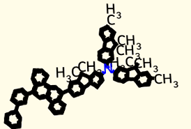 Cc1ccc2c(c1)C(C)(C)c1cc(N(c3ccc4c(c3)C(C)(C)c3cc(C)ccc3-4)c3ccc4c(c3)C(C)(C)c3cc(-c5cc6c7ccccc7c(-c7cccc(-c8ccccc8)c7)cc6c6ccccc56)ccc3-4)ccc1-2